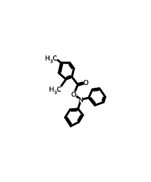 Cc1ccc(C(=O)ON(c2ccccc2)c2ccccc2)c(C)c1